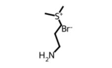 C[S+](C)CCCN.[Br-]